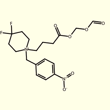 O=COCOC(=O)CCC[N+]1(Cc2ccc([N+](=O)[O-])cc2)CCC(F)(F)CC1